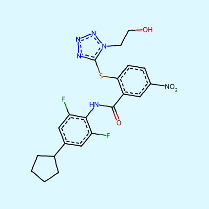 O=C(Nc1c(F)cc(C2CCCC2)cc1F)c1cc([N+](=O)[O-])ccc1Sc1nnnn1CCO